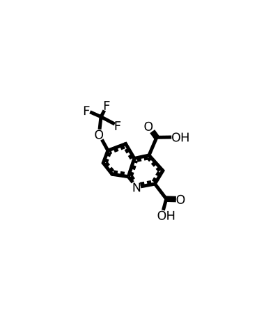 O=C(O)c1cc(C(=O)O)c2cc(OC(F)(F)F)ccc2n1